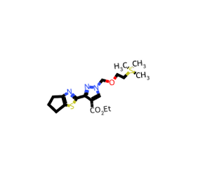 CCOC(=O)c1cn(COCCS(C)(C)C)nc1-c1nc2c(s1)CCC2